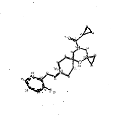 O=C(C1CC1)N1CC2(CCN(CCc3ncccc3F)CC2)OC2(CC2)C1